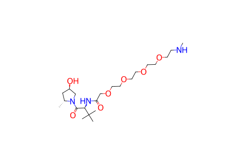 CNCCOCCOCCOCCOCC(=O)N[C@H](C(=O)N1C[C@H](O)C[C@H]1C)C(C)(C)C